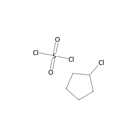 ClC1CCCC1.O=S(=O)(Cl)Cl